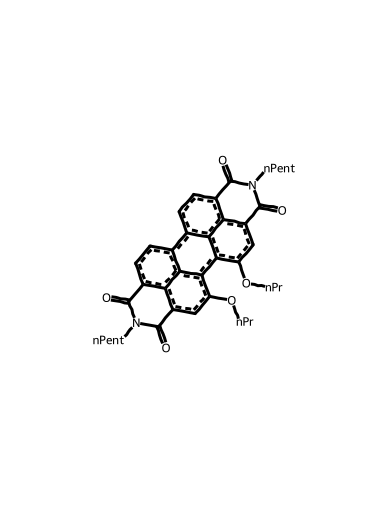 CCCCCN1C(=O)c2ccc3c4ccc5c6c(cc(OCCC)c(c7c(OCCC)cc(c2c37)C1=O)c64)C(=O)N(CCCCC)C5=O